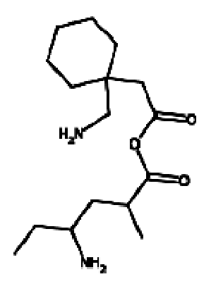 CCC(N)CC(C)C(=O)OC(=O)CC1(CN)CCCCC1